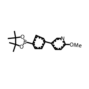 COc1ccc(-c2ccc(B3OC(C)(C)C(C)(C)O3)cc2)cn1